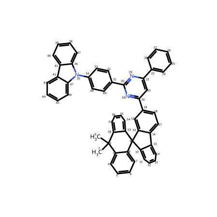 CC1(C)c2ccccc2C2(c3ccccc3-c3ccc(-c4cc(-c5ccccc5)nc(-c5ccc(-n6c7ccccc7c7ccccc76)cc5)n4)cc32)c2ccccc21